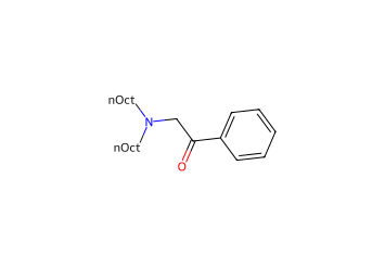 CCCCCCCCN(CCCCCCCC)CC(=O)c1ccccc1